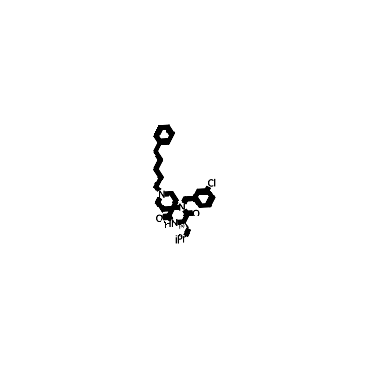 CC(C)C[C@@H]1NC(=O)C2(CCN(CCCCCc3ccccc3)CC2)N(Cc2cccc(Cl)c2)C1=O